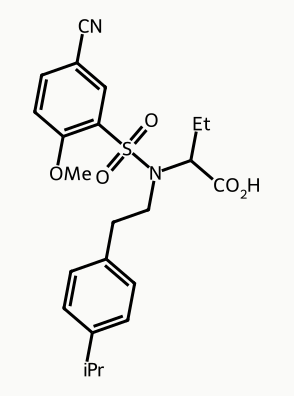 CCC(C(=O)O)N(CCc1ccc(C(C)C)cc1)S(=O)(=O)c1cc(C#N)ccc1OC